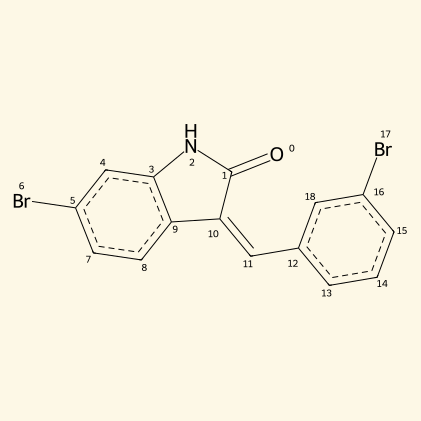 O=C1Nc2cc(Br)ccc2C1=Cc1cccc(Br)c1